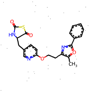 Cc1oc(-c2ccccc2)nc1CCOc1ccc(CC2NC(=O)SC2=O)cn1